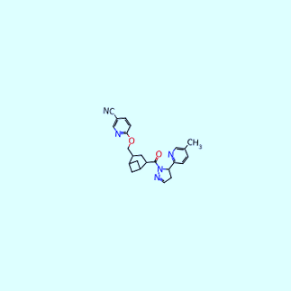 Cc1ccc(C2CC=NN2C(=O)C2CC(COc3ccc(C#N)cn3)C3CC2C3)nc1